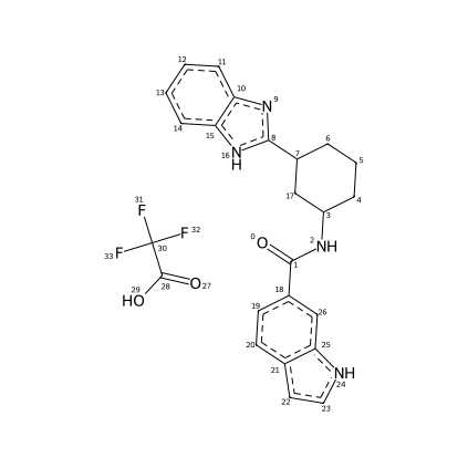 O=C(NC1CCCC(c2nc3ccccc3[nH]2)C1)c1ccc2cc[nH]c2c1.O=C(O)C(F)(F)F